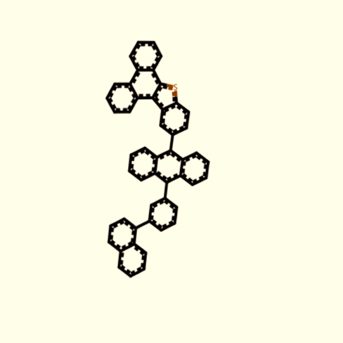 c1cc(-c2cccc3ccccc23)cc(-c2c3ccccc3c(-c3ccc4sc5c6ccccc6c6ccccc6c5c4c3)c3ccccc23)c1